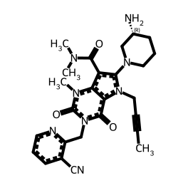 CC#CCn1c(N2CCC[C@@H](N)C2)c(C(=O)N(C)C)c2c1c(=O)n(Cc1ncccc1C#N)c(=O)n2C